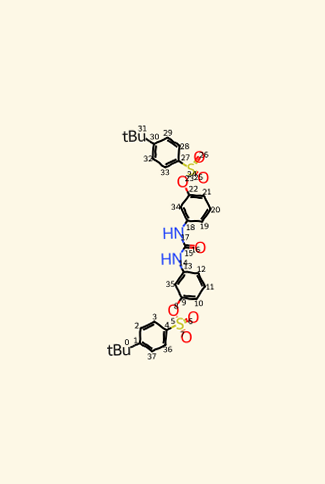 CC(C)(C)c1ccc(S(=O)(=O)Oc2cccc(NC(=O)Nc3cccc(OS(=O)(=O)c4ccc(C(C)(C)C)cc4)c3)c2)cc1